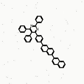 c1ccc(-c2nc(-c3ccccc3)c(-c3ccccc3)c(-c3ccc(-c4ccc5cc(-c6ccc7ccccc7c6)ccc5c4)cc3)n2)cc1